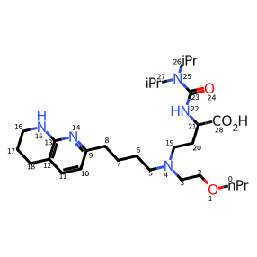 CCCOCCN(CCCCc1ccc2c(n1)NCCC2)CCC(NC(=O)N(C(C)C)C(C)C)C(=O)O